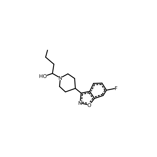 CCCC(O)N1CCC(c2noc3cc(F)ccc23)CC1